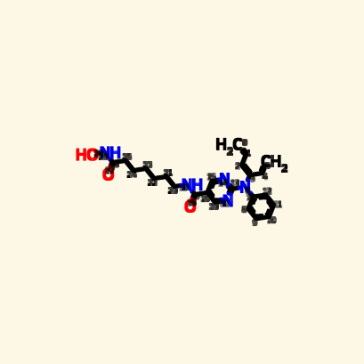 C=C/C=C(\C=C)N(c1ccccc1)c1ncc(C(=O)NCCCCCCC(=O)NO)cn1